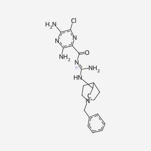 N/C(=N\C(=O)c1nc(Cl)c(N)nc1N)NC1C[N+]2(Cc3ccccc3)CCC1CC2